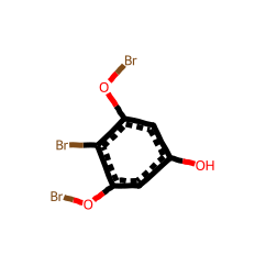 Oc1cc(OBr)c(Br)c(OBr)c1